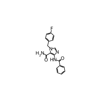 NC(=O)c1c(NC(=O)c2ccccc2)ncn1Cc1ccc(F)cc1